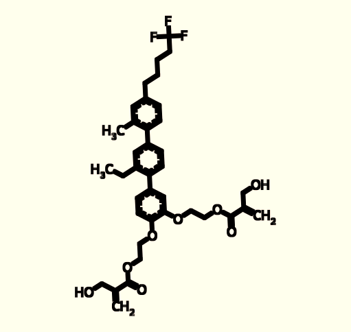 C=C(CO)C(=O)OCCOc1ccc(-c2ccc(-c3ccc(CCCCC(F)(F)F)cc3C)cc2CC)cc1OCCOC(=O)C(=C)CO